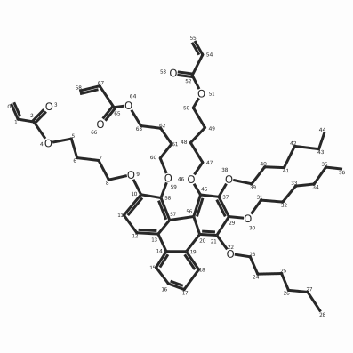 C=CC(=O)OCCCCOc1ccc2c3ccccc3c3c(OCCCCCC)c(OCCCCCC)c(OCCCCCC)c(OCCCCOC(=O)C=C)c3c2c1OCCCCOC(=O)C=C